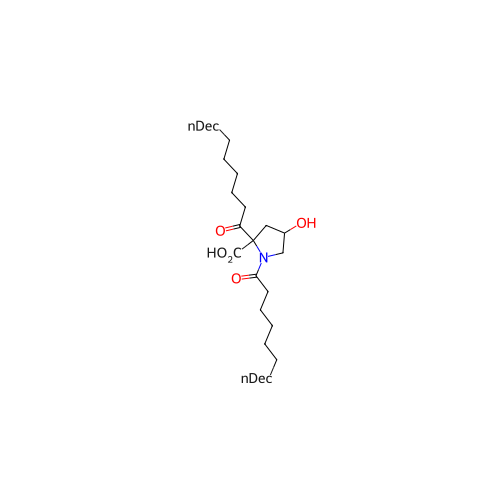 CCCCCCCCCCCCCCCC(=O)N1CC(O)CC1(C(=O)O)C(=O)CCCCCCCCCCCCCCC